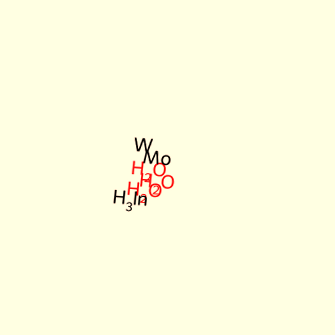 O.O.O.[InH3].[Mo].[W]